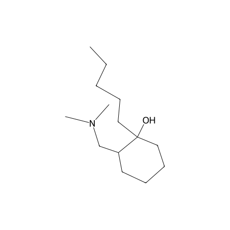 CCCCCC1(O)CCCCC1CN(C)C